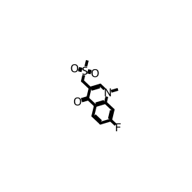 Cn1cc(CS(C)(=O)=O)c(=O)c2ccc(F)cc21